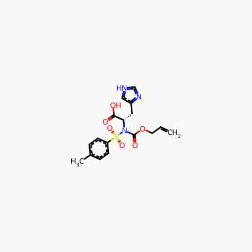 C=CCOC(=O)N([C@@H](Cc1c[nH]cn1)C(=O)O)S(=O)(=O)c1ccc(C)cc1